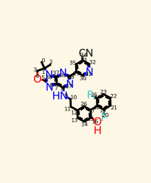 CC1(C)COc2nc3c(NCCc4ccc(O)c(-c5c(F)cccc5F)c4)nc(-c4cncc(C#N)c4)nc3n21